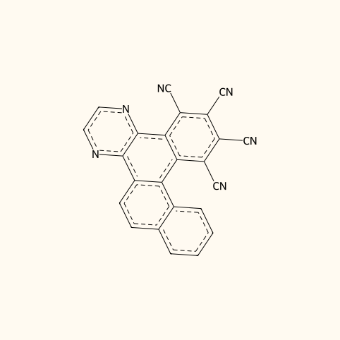 N#Cc1c(C#N)c(C#N)c2c(c1C#N)c1nccnc1c1ccc3ccccc3c12